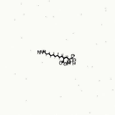 [N-]=[N+]=NCCCCCCCCC(C[C@@H](N)C(=O)O)C(=O)O